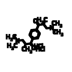 CC(CN(C)C)C(=O)c1ccc(C(=O)C(C)CN(C)C)cc1.Cl.Cl